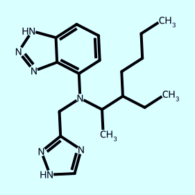 CCCCC(CC)C(C)N(Cc1nc[nH]n1)c1cccc2[nH]nnc12